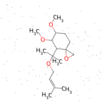 COC1CCC2(CO2)C(C(C)(C)OCC=C(C)C)C1OC